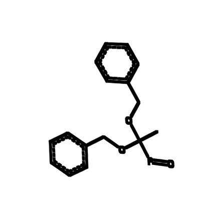 CC(OCc1ccccc1)(OCc1ccccc1)P=O